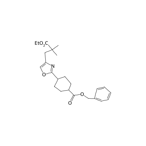 CCOC(=O)C(C)(C)Cc1coc(C2CCC(C(=O)OCc3ccccc3)CC2)n1